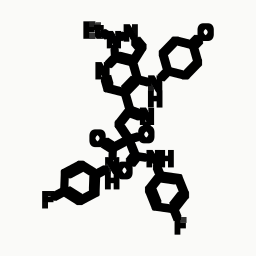 CCn1ncc2c(NC3CCC(=O)CC3)c(C3=NOC(C(=O)Nc4ccc(F)cc4)(C(=O)Nc4ccc(F)cc4)C3)cnc21